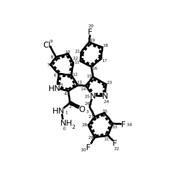 NNC(=O)c1[nH]c2cc(Cl)ccc2c1-c1c(-c2ccc(F)cc2)cnn1Cc1cc(F)c(F)c(F)c1